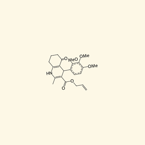 C=CCOC(=O)C1=C(C)NC2=C(C(=O)CCC2)C1c1ccc(OC)c(OC)c1OC